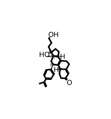 C=C(C)c1ccc([C@H]2C[C@@]3(C)[C@@H](CC[C@@]3(O)CCCO)C3=C2[C@H]2CCC(=O)C=C2CC3)cc1